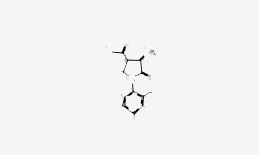 CC(C)(C)OC(=O)C1CN(c2ccccc2F)C(=O)C1=NO